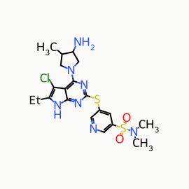 CCc1[nH]c2nc(Sc3cncc(S(=O)(=O)N(C)C)c3)nc(N3CC(C)C(N)C3)c2c1Cl